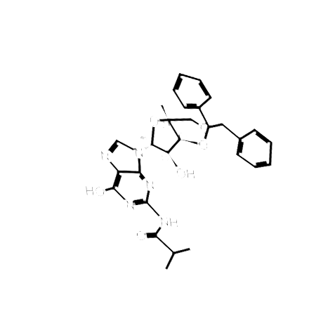 CC(C)C(=O)Nc1nc(O)c2ncn([C@@H]3O[C@](C)(COCc4ccccc4)[C@@H](OCc4ccccc4)[C@H]3O)c2n1